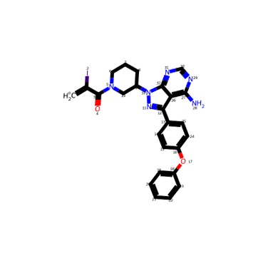 C=C(I)C(=O)N1CCCC(n2nc(-c3ccc(Oc4ccccc4)cc3)c3c(N)ncnc32)C1